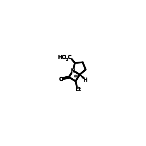 CCC1C(=O)N2C(C(=O)O)CC[C@H]12